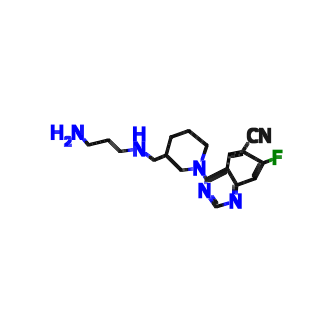 N#Cc1cc2c(N3CCCC(CNCCCN)C3)ncnc2cc1F